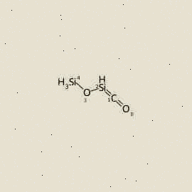 O=C=[SiH]O[SiH3]